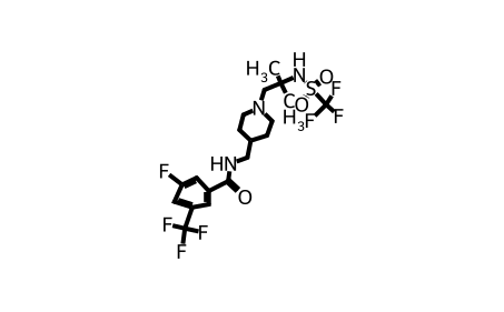 CC(C)(CN1CCC(CNC(=O)c2cc(F)cc(C(F)(F)F)c2)CC1)NS(=O)(=O)C(F)(F)F